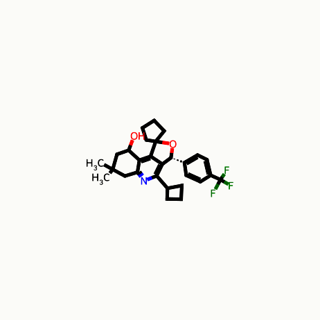 CC1(C)Cc2nc(C3CCC3)c3c(c2C(O)C1)C1(CCCC1)O[C@@H]3c1ccc(C(F)(F)F)cc1